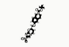 CC(C)(C)OC(=O)N1CCc2cc(OC[C@@H]3CCn4cc([N+](=O)[O-])nc4O3)ccc2C1